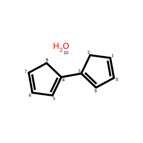 C1=CCC(C2=CC=CC2)=C1.O